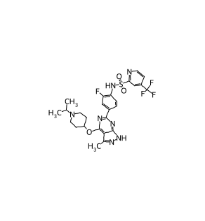 Cc1n[nH]c2nc(-c3ccc(NS(=O)(=O)c4cc(C(F)(F)F)ccn4)c(F)c3)nc(OC3CCN(C(C)C)CC3)c12